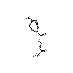 CC(=O)OCOC(=O)c1ccc(S)cc1